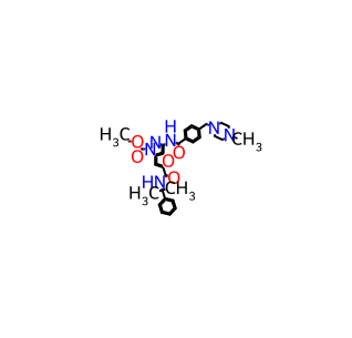 CCOC(=O)n1nc(NC(=O)c2ccc(CN3CCN(C)CC3)cc2)c2oc(C(=O)NC(C)(C)c3ccccc3)cc21